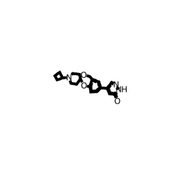 O=c1cc(-c2ccc3c(c2)COC2(CCN(C4CCC4)CC2)O3)cn[nH]1